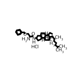 CC(C)CCC[C@@H](C)[C@H]1CC[C@H]2[C@@H]3CCC4C[C@H](NC(=O)[C@@H](N)COCc5ccccc5)CC[C@]4(C)[C@H]3CC[C@]12C.Cl